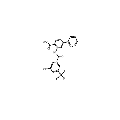 O=C(Nc1cc(-c2ccccc2)ccc1C(=O)O)c1cc(Cl)cc(C(F)(F)F)c1